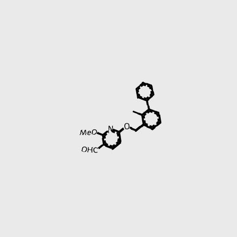 COc1nc(OCc2cccc(-c3ccccc3)c2C)ccc1C=O